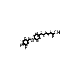 N#CC(F)=CC=CCCC1CCC(OCc2ccc(F)c(F)c2)CC1